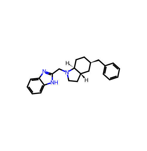 c1ccc(C[C@@H]2CC[C@H]3[C@@H](CCN3Cc3nc4ccccc4[nH]3)C2)cc1